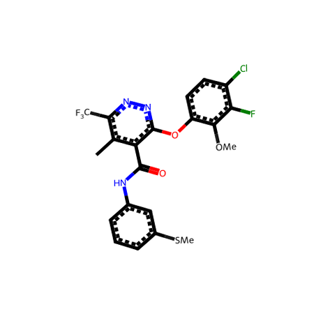 COc1c(Oc2nnc(C(F)(F)F)c(C)c2C(=O)Nc2cccc(SC)c2)ccc(Cl)c1F